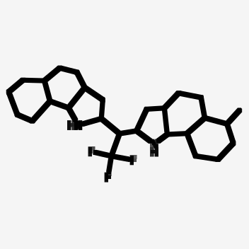 CC1CCCC2C1CCC1CC(C(C3CC4CCC5CCCCC5C4N3)C(F)(F)F)NC12